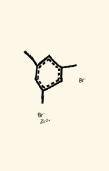 Cc1cc(C)cc(C)c1.[Br-].[Br-].[Zr+2]